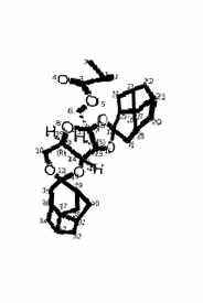 C=C(C)C(=O)OC[C@@]12O[C@@H]3COC4(O[C@H]3[C@@H]1OC1(O2)C2CC3CC5CC1C5(C3)C2)C1CC2CC3CC4CC23C1